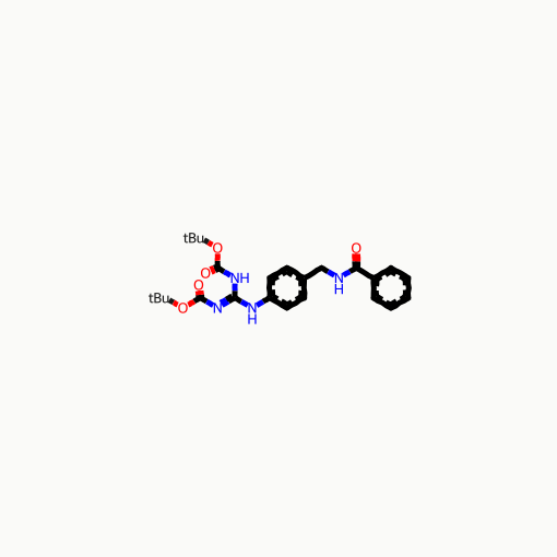 CC(C)(C)OC(=O)/N=C(\NC(=O)OC(C)(C)C)Nc1ccc(CNC(=O)c2ccccc2)cc1